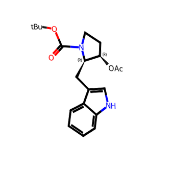 CC(=O)O[C@@H]1CCN(C(=O)OC(C)(C)C)[C@@H]1Cc1c[nH]c2ccccc12